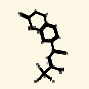 O=C1COc2ccc(C(=O)/C=C(\O)C(F)(F)F)cc2N1